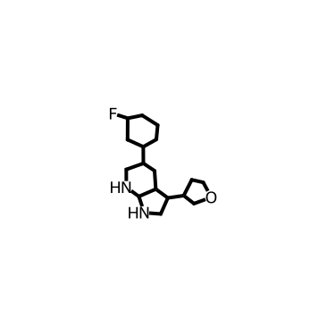 FC1CCCC(C2CNC3NCC(C4CCOC4)C3C2)C1